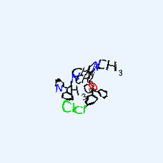 CN(C)CCC(c1ccc(Cl)cc1)c1ccccn1.CN1CCC[C@@H]1CCO[C@](C)(c1ccccc1)c1ccc(Cl)cc1